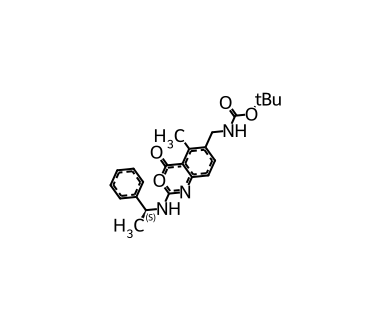 Cc1c(CNC(=O)OC(C)(C)C)ccc2nc(N[C@@H](C)c3ccccc3)oc(=O)c12